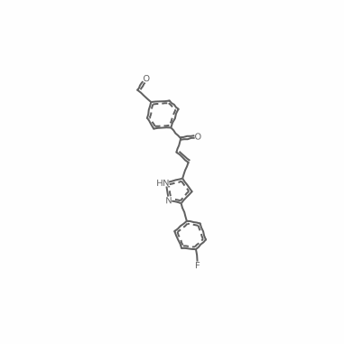 O=Cc1ccc(C(=O)/C=C/c2cc(-c3ccc(F)cc3)n[nH]2)cc1